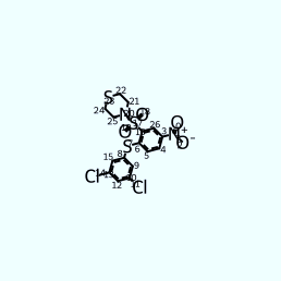 O=[N+]([O-])c1ccc(Sc2cc(Cl)cc(Cl)c2)c(S(=O)(=O)N2CCSCC2)c1